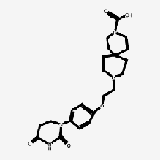 O=C1CCN(c2ccc(OCCN3CCC4(CC3)CCN(C(=O)O)CC4)cc2)C(=O)N1